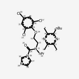 CCCCc1nc(C)c(C)nc1C.CCCN(CCOc1c(Cl)cc(Cl)cc1Cl)C(=O)n1ccnc1